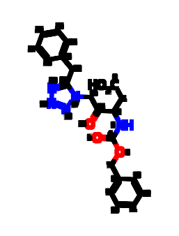 O=C(O)CC(NC(=O)OCc1ccccc1)C(=O)Cn1nnnc1Cc1ccccc1